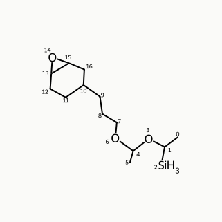 CC([SiH3])OC(C)OCCCC1CCC2OC2C1